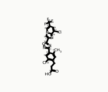 Cc1cc(CCC(=O)O)c(Cl)cc1-c1noc(-c2cn3cc(C(F)(F)F)cc(Cl)c3n2)n1